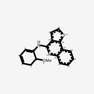 COC1CC=CC=C1Nc1nc2ccccc2c2sccc12